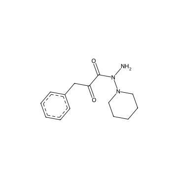 NN(C(=O)C(=O)Cc1ccccc1)N1CCCCC1